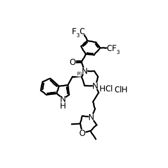 CC1CN(CCCN2CCN(C(=O)c3cc(C(F)(F)F)cc(C(F)(F)F)c3)[C@H](Cc3c[nH]c4ccccc34)C2)CC(C)O1.Cl.Cl